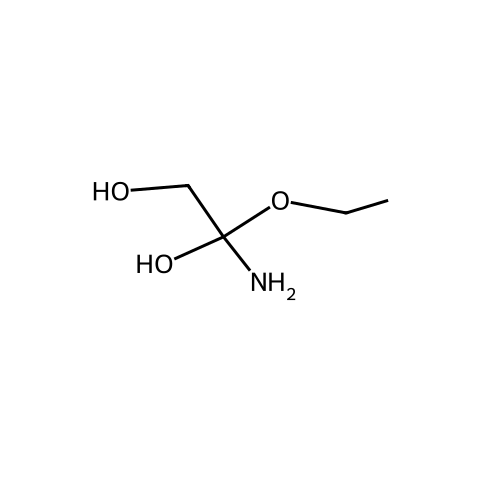 CCOC(N)(O)CO